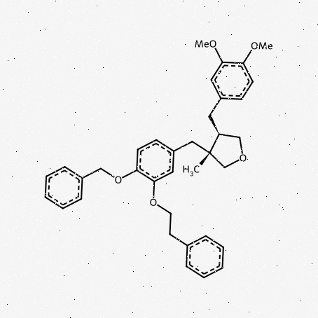 COc1ccc(C[C@H]2COC[C@]2(C)Cc2ccc(OCc3ccccc3)c(OCCc3ccccc3)c2)cc1OC